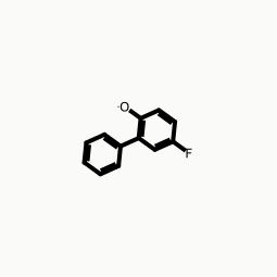 [O]c1ccc(F)cc1-c1ccccc1